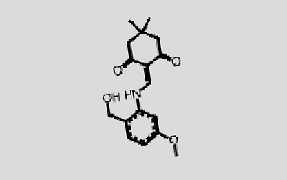 COc1ccc(CO)c(NC=C2C(=O)CC(C)(C)CC2=O)c1